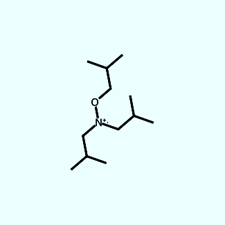 CC(C)CO[N+](CC(C)C)CC(C)C